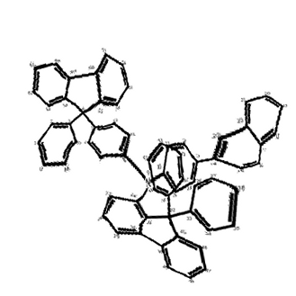 c1ccc(C2(c3ccc(N(c4ccc(-c5ccc6ccccc6c5)cc4)c4cccc5c4C(c4ccccc4)(c4ccccc4)c4ccccc4-5)cc3)c3ccccc3-c3ccccc32)cc1